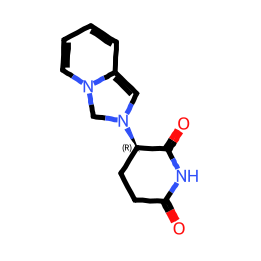 O=C1CC[C@@H](N2C=C3C=CC=CN3C2)C(=O)N1